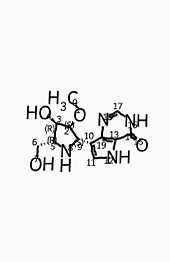 CO[C@@H]1[C@H](O)[C@@H](CO)N[C@H]1c1c[nH]c2c(=O)[nH]cnc12